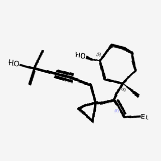 CC/C=C(/C1(CC#CC(C)(C)O)CC1)[C@@]1(C)CCC[C@H](O)C1